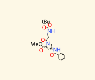 COC(=O)[C@@H]1C[C@@H](NC(=O)c2ccccc2)CN1C(=O)CCNC(=O)OC(C)(C)C